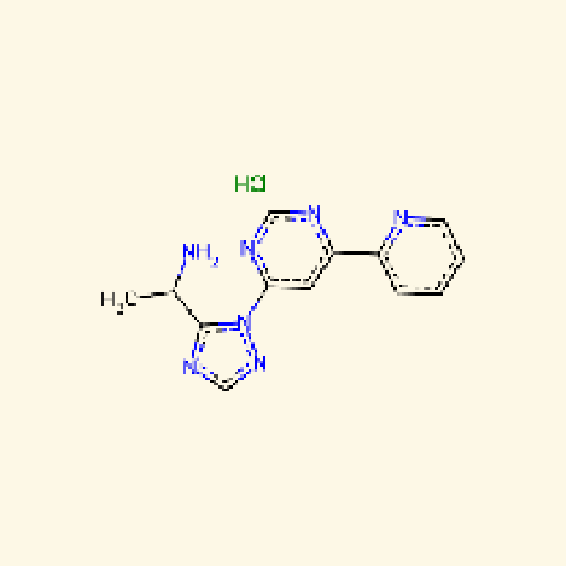 CC(N)c1ncnn1-c1cc(-c2ccccn2)ncn1.Cl